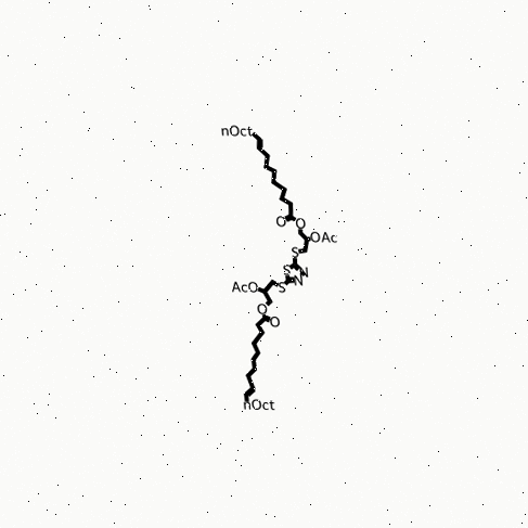 CCCCCCCCC=CCCCCCCCC(=O)OCC(CSc1nnc(SCC(COC(=O)CCCCCCCC=CCCCCCCCC)OC(C)=O)s1)OC(C)=O